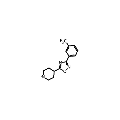 FC(F)(F)c1cccc(-c2noc(C3CC[N]CC3)n2)c1